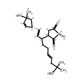 CCCCC(C)(C)C/C=C/CCC(/C=C/[C@@H]1C=CC(C)(CCC)C1)C1CC(=O)N(C(C)=O)C1=O